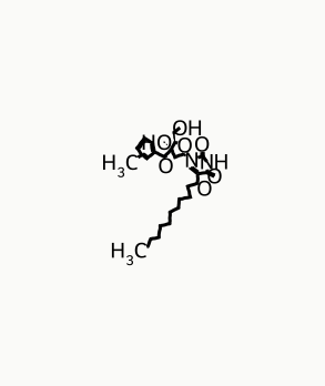 CCCCCCCCCCCC(=O)c1cn([C@H]2C[C@@](O)(C(=O)c3cccc(C)c3)[C@@H](CO)O2)c(=O)[nH]c1=O